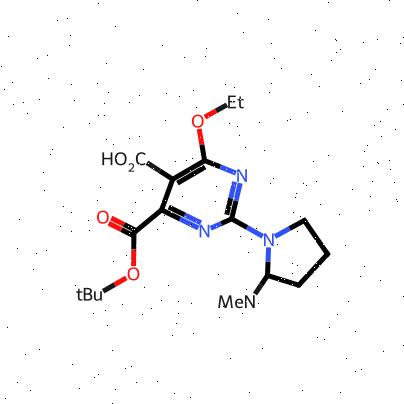 CCOc1nc(N2CCCC2NC)nc(C(=O)OC(C)(C)C)c1C(=O)O